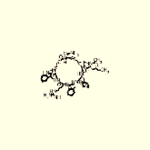 CCCC[C@H](NC(C)=O)C(=O)N[C@H]1CSSC[C@@H](C(N)=O)NC(=O)CCCNC(=O)[C@@H](Cc2c[nH]c3ccccc23)NC(=O)[C@H](CCCNC(=N)N)NC(=O)[C@@H](Cc2ccccc2)NC(=O)[C@H](Cc2c[nH]cn2)NC1=O